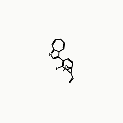 C=CC1C2C(F)=C(C3=CN=C4C=CCC=CC34)C=CC12OC